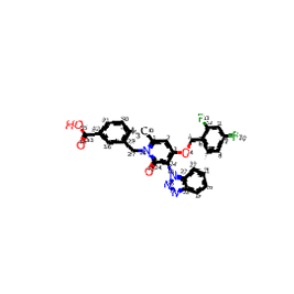 Cc1cc(OCc2ccc(F)cc2F)c(-n2nnc3ccccc32)c(=O)n1Cc1cccc(C(=O)O)c1